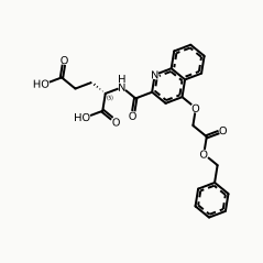 O=C(O)CC[C@H](NC(=O)c1cc(OCC(=O)OCc2ccccc2)c2ccccc2n1)C(=O)O